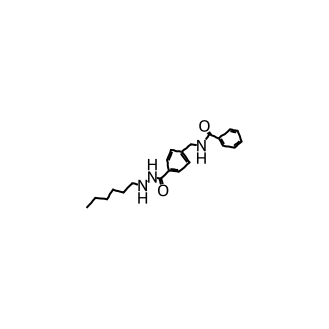 CCCCCCNNC(=O)c1ccc(CNC(=O)c2ccccc2)cc1